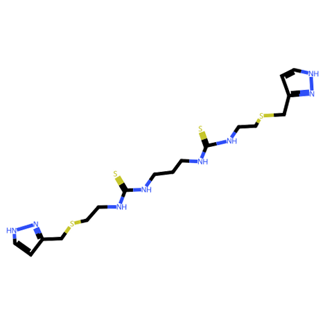 S=C(NCCCNC(=S)NCCSCc1cc[nH]n1)NCCSCc1cc[nH]n1